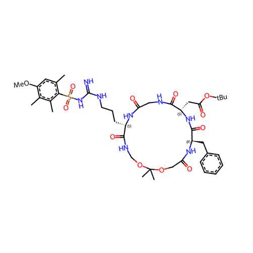 COc1cc(C)c(S(=O)(=O)NC(=N)NCCC[C@@H]2NC(=O)CNC(=O)[C@H](CC(=O)OC(C)(C)C)NC(=O)[C@@H](Cc3ccccc3)NC(=O)COC(C)(C)OCNC2=O)c(C)c1C